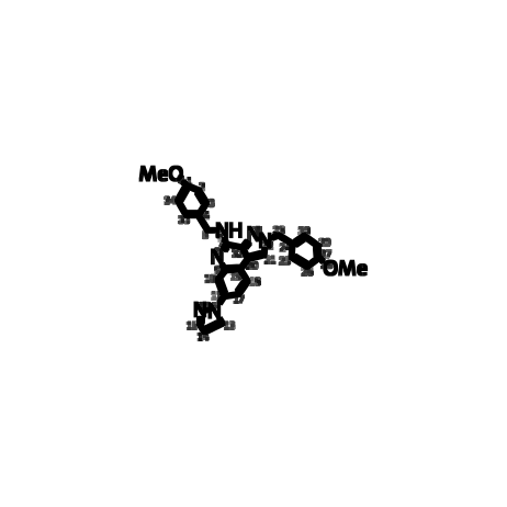 COc1ccc(CNc2nc3cc(-n4cccn4)ccc3c3cn(Cc4ccc(OC)cc4)nc23)cc1